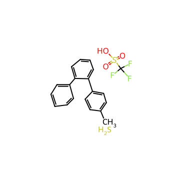 Cc1ccc(-c2ccccc2-c2ccccc2)cc1.O=S(=O)(O)C(F)(F)F.S